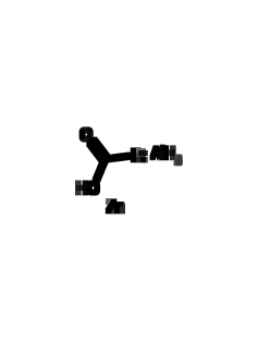 CCC(=O)O.[AlH3].[Zn]